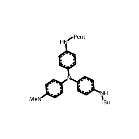 CCCC(C)Nc1ccc(N(c2ccc(NC)cc2)c2ccc(NC(C)CC)cc2)cc1